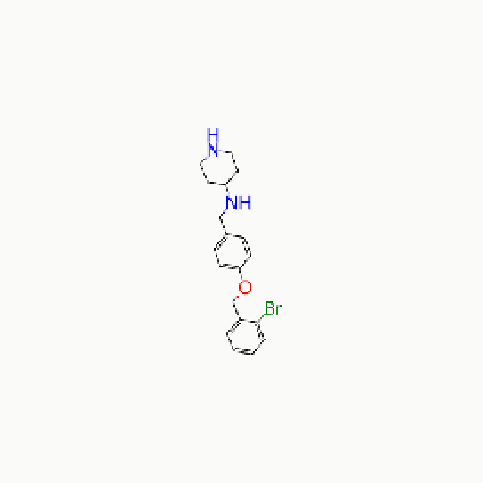 Brc1ccccc1COc1ccc(CNC2CCNCC2)cc1